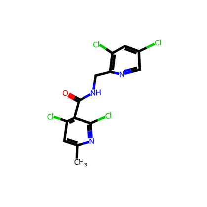 Cc1cc(Cl)c(C(=O)NCc2ncc(Cl)cc2Cl)c(Cl)n1